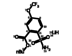 CCCCOC(=O)c1cc(OC(F)(F)F)ccc1S(N)(=O)=O.[LiH]